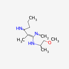 C=N/C(N[C@H](C)COC)=C(/C)C(=N)CCC